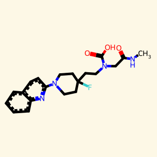 CNC(=O)CN(CCC1(F)CCN(c2ccc3ccccc3n2)CC1)C(=O)O